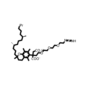 Cc1c(C)c(C(CCOCCOCCOCCN=[N+]=N)(CC(=O)O)C(=O)[O-])c(C)c2c1OC(C)(CCC[C@H](C)CCC[C@H](C)CCCC(C)C)CC2